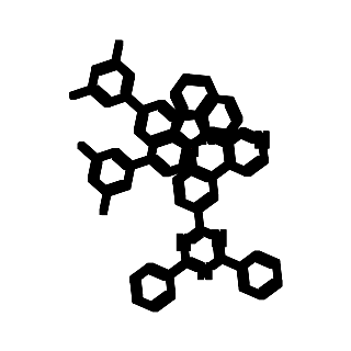 Cc1cc(C)cc(-c2ccc3c(c2)c2ccccc2n3-c2ccc(-c3nc(-c4ccccc4)nc(-c4ccccc4)n3)cc2-c2ccncc2-n2c3ccccc3c3cc(-c4cc(C)cc(C)c4)ccc32)c1